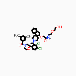 CN(CCOCCO)C(=O)CO[C@H]1Cc2ccccc2C12CCN(CC[C@@]1(c3ccc(Cl)c(Cl)c3)CN(C(=O)c3cc(C(F)(F)F)cc(C(F)(F)F)c3)CCO1)CC2